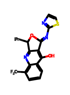 CC(C)C1OC(=Nc2nccs2)c2c1nc1c(C(F)(F)F)cccc1c2O